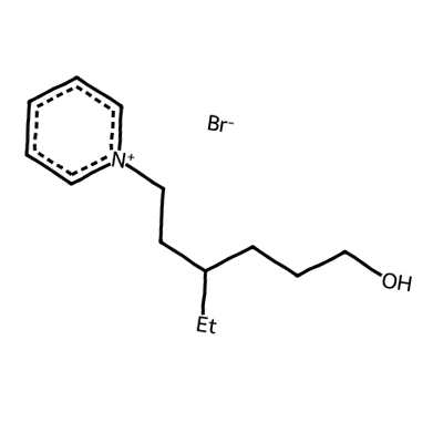 CCC(CCCO)CC[n+]1ccccc1.[Br-]